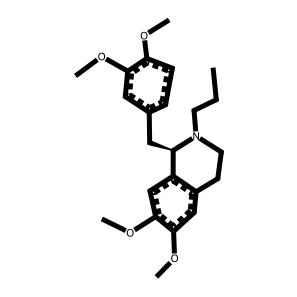 CCCN1CCc2cc(OC)c(OC)cc2[C@H]1Cc1ccc(OC)c(OC)c1